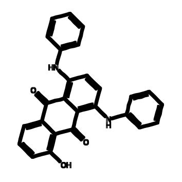 O=C1c2cccc(O)c2C(=O)c2c(Nc3ccccc3)ccc(Nc3ccccc3)c21